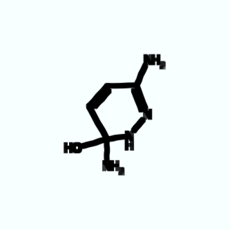 NC1=NNC(N)(O)C=C1